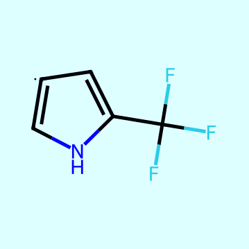 FC(F)(F)c1c[c]c[nH]1